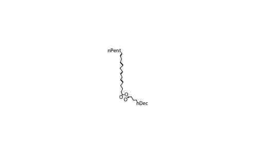 CCCCCC=CCC=CCC=CCC=CCCCC(=O)OC(=O)CCCCCCCCCCCCC